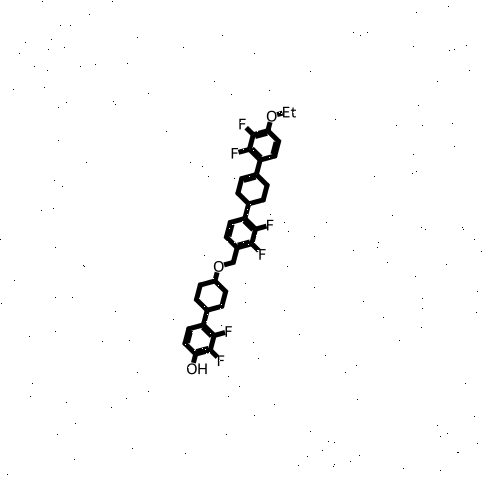 CCOc1ccc(C2=CCC(c3ccc(COC4CCC(c5ccc(O)c(F)c5F)CC4)c(F)c3F)CC2)c(F)c1F